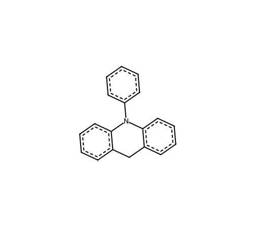 [c]1cccc2c1Cc1ccccc1N2c1ccccc1